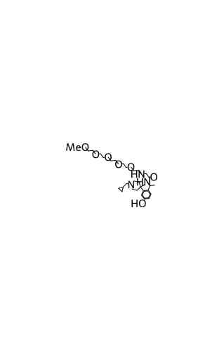 COCCOCCOCCOCCOCCNCC(=O)NC(C)c1ccc(O)cc1C1(C)CCN(CC2CC2)[C@H](C)[C@@H]1C